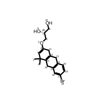 CC1(C)C=C(OC[C@H](O)CO)CC2=C1Cc1cc(Br)ccc1C2